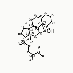 CC(C)[C@@H](C)CC[C@@H](C)[C@H]1CC[C@@]2(C)C3=C(CC[C@]12C)[C@@]1(C)C(O)CCCC1CC3